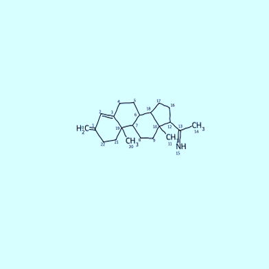 C=C1C=C2CCC3C(CCC4(C)C(C(C)=N)CCC34)C2(C)CC1